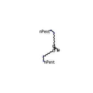 CCCCC/C=C\C/C=C\CCCCCCCCOC1[C@H](CN(C)C)[C@H]1OCCCCCCCC/C=C\C/C=C\CCCCC